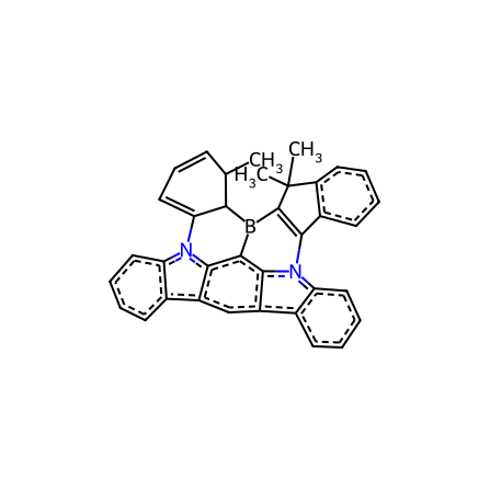 CC1C=CC=C2C1B1C3=C(c4ccccc4C3(C)C)n3c4ccccc4c4cc5c6ccccc6n2c5c1c43